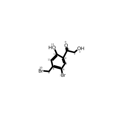 O=C(CO)c1cc(Br)c(CBr)cc1O